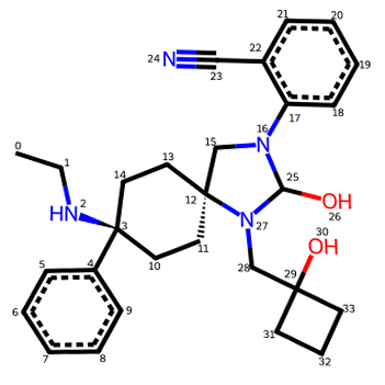 CCN[C@]1(c2ccccc2)CC[C@]2(CC1)CN(c1ccccc1C#N)C(O)N2CC1(O)CCC1